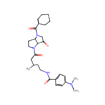 CC(CCNC(=O)c1ccc(N(C)C)cc1)CC(=O)N1CCC2C1C(=O)CN2C(=O)C1CCCCC1